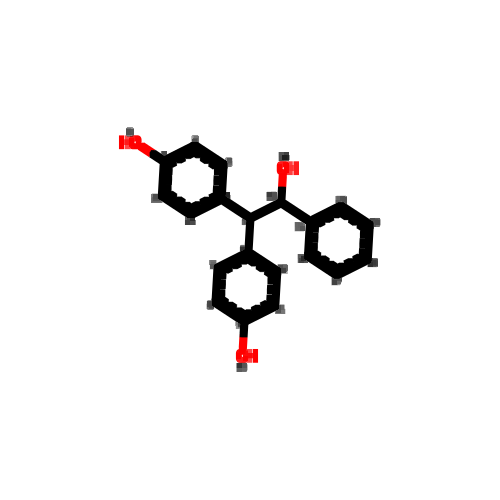 Oc1ccc(C(c2ccc(O)cc2)C(O)c2ccccc2)cc1